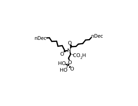 CCCCCCCCCCCCCCCC(=O)N(C(=O)CCCCCCCCCCCCCCC)[C@@H](COP(=O)(O)O)C(=O)O